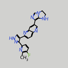 Cc1nc(-c2n[nH]cc2-c2ccc3ncc(-c4ncn5c4NCC5)cc3n2)ccc1F